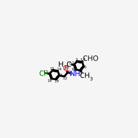 Cc1cc(C=O)cc(C)c1NC(=O)Cc1ccc(Cl)cc1